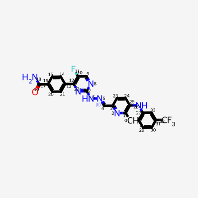 Cc1nc(/C=N/Nc2ncc(F)c(-c3ccc(C(N)=O)cc3)n2)ccc1Nc1cccc(C(F)(F)F)c1